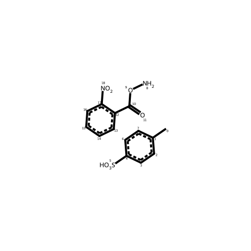 Cc1ccc(S(=O)(=O)O)cc1.NOC(=O)c1ccccc1[N+](=O)[O-]